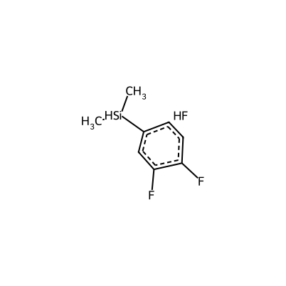 C[SiH](C)c1ccc(F)c(F)c1.F